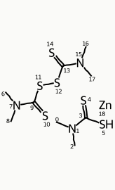 CN(C)C(=S)S.CN(C)C(=S)SSC(=S)N(C)C.[Zn]